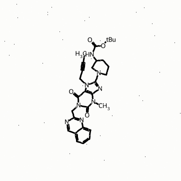 CC#CCn1c(N2CCCC(NC(=O)OC(C)(C)C)C2)nc2c1c(=O)n(Cc1ncc3ccccc3n1)c(=O)n2C